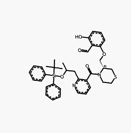 CC(Cc1ncccc1C(=O)N1CCSC[C@H]1COc1cccc(O)c1C=O)O[Si](c1ccccc1)(c1ccccc1)C(C)(C)C